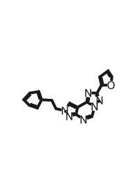 c1ccc(CCn2cc3c(ncn4nc(-c5ccco5)nc34)n2)cc1